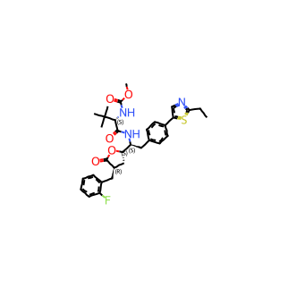 CCc1ncc(-c2ccc(C[C@H](NC(=O)[C@@H](NC(=O)OC)C(C)(C)C)[C@@H]3C[C@@H](Cc4ccccc4F)C(=O)O3)cc2)s1